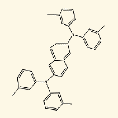 Cc1cccc(N(c2cccc(C)c2)c2ccc3cc(N(c4cccc(C)c4)c4cccc(C)c4)ccc3c2)c1